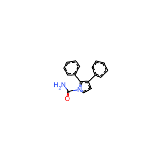 NC(=O)n1ccc(-c2ccccc2)c1-c1ccccc1